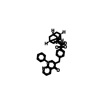 CS(=O)(=O)N[C@]12C[C@@H]3C[C@H](C1)[C@@H](NC(=O)c1ccc(Cc4cn(-c5ccccc5)c5ncccc5c4=O)cc1)[C@@H](C3)C2